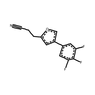 N#CCCc1cc(-c2cc(F)c(F)c(F)c2)co1